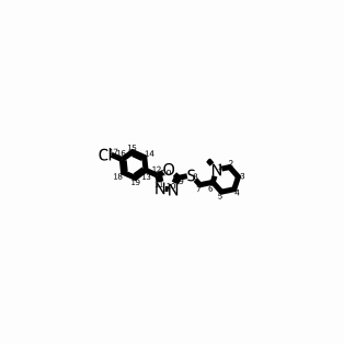 CN1CCCCC1CSc1nnc(-c2ccc(Cl)cc2)o1